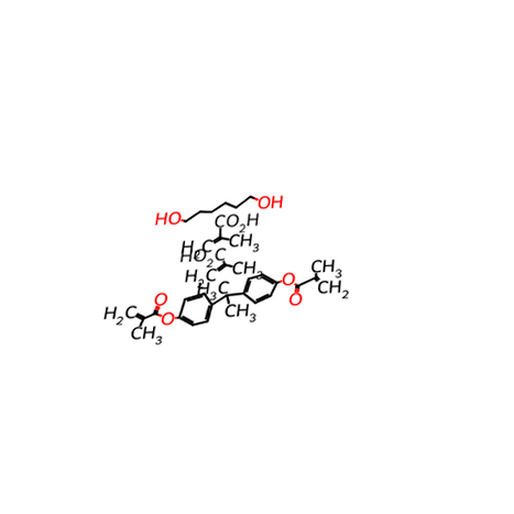 C=C(C)C(=O)O.C=C(C)C(=O)O.C=C(C)C(=O)Oc1ccc(C(C)(C)c2ccc(OC(=O)C(=C)C)cc2)cc1.OCCCCCCO